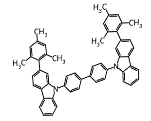 Cc1cc(C)c(-c2ccc3c4ccccc4n(-c4ccc(-c5ccc(-n6c7ccccc7c7ccc(-c8c(C)cc(C)cc8C)cc76)cc5)cc4)c3c2)c(C)c1